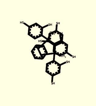 CC(c1ccc(S)cc1S)(c1ccc(S)cc1S)C1c2ccc(cc2)C1C(C)(c1ccc(S)cc1S)c1ccc(S)cc1S